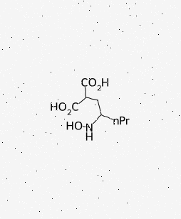 CCCC(CC(C(=O)O)C(=O)O)NO